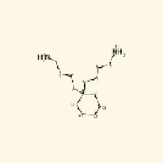 NCCCCC1(CCCCN)CC[CH]CC1